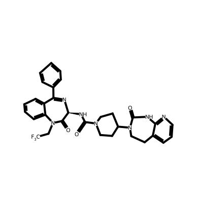 O=C(N[C@@H]1N=C(c2ccccc2)c2ccccc2N(CC(F)(F)F)C1=O)N1CCC(N2CCc3cccnc3NC2=O)CC1